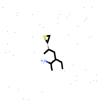 CCC(CC(C)[C@H]1CS1)C(C)N